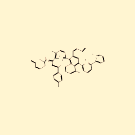 C=C/C=C\CC(C)/N=C(\C=C(/C)c1ccc(C)cc1)c1nc(-c2c(/C=C\C=C)cc(-c3cccc(-c4ccccn4)n3)c3c2CCC=C3C)ccc1C